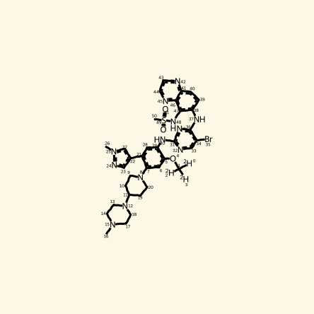 [2H]C([2H])([2H])Oc1cc(N2CCC(N3CCN(C)CC3)CC2)c(-c2cnn(C)c2)cc1Nc1ncc(Br)c(Nc2ccc3nccnc3c2NS(C)(=O)=O)n1